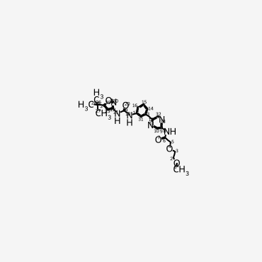 COCCOCC(=O)Nc1cnc(-c2cccc(NC(=O)Nc3cc(C(C)(C)C)on3)c2)cn1